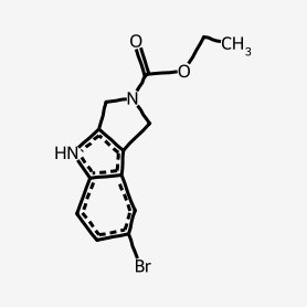 CCOC(=O)N1Cc2[nH]c3ccc(Br)cc3c2C1